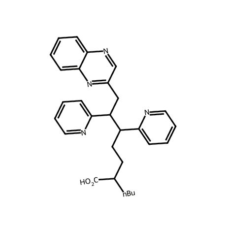 CCCCC(CCC(c1ccccn1)C(Cc1cnc2ccccc2n1)c1ccccn1)C(=O)O